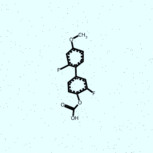 COc1ccc(-c2ccc(OC(=O)O)c(F)c2)c(F)c1